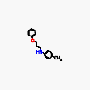 Cc1ccc(NCCCOc2ccccc2)cc1